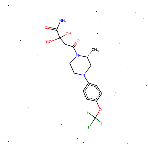 C[C@@H]1CN(c2ccc(OC(F)(F)F)cc2)CCN1C(=O)CC(O)(O)C(N)=O